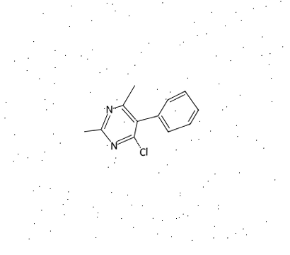 Cc1nc(C)c(-c2ccccc2)c(Cl)n1